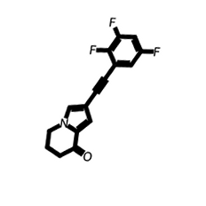 O=C1CCCn2cc(C#Cc3cc(F)cc(F)c3F)cc21